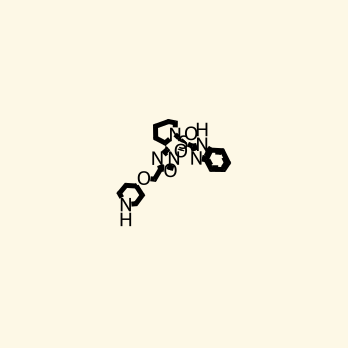 O=S(=O)(c1nc2ccccc2[nH]1)N1CCCC[C@H]1c1noc(COC2CCNCC2)n1